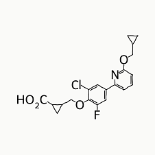 O=C(O)C1CC1COc1c(F)cc(-c2cccc(OCC3CC3)n2)cc1Cl